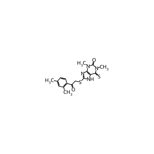 Cc1ccc(C(=O)CSc2nc3c([nH]2)c(=S)n(C)c(=O)n3C)c(C)c1